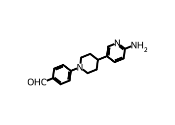 Nc1ccc(C2CCN(c3ccc(C=O)cc3)CC2)cn1